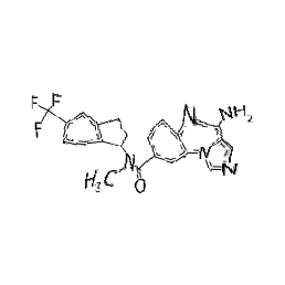 CN(C(=O)c1ccc2nc(N)c3cncn3c2c1)C1CCc2cc(C(F)(F)F)ccc21